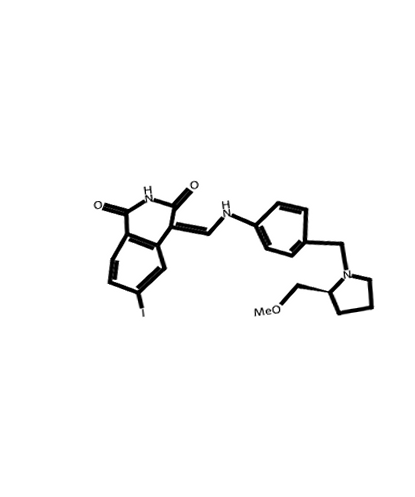 COC[C@@H]1CCCN1Cc1ccc(N/C=C2\C(=O)NC(=O)c3ccc(I)cc32)cc1